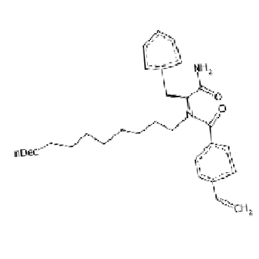 C=Cc1ccc(C(=O)N(CCCCCCCCCCCCCCCCCC)[C@@H](Cc2ccccc2)C(N)=O)cc1